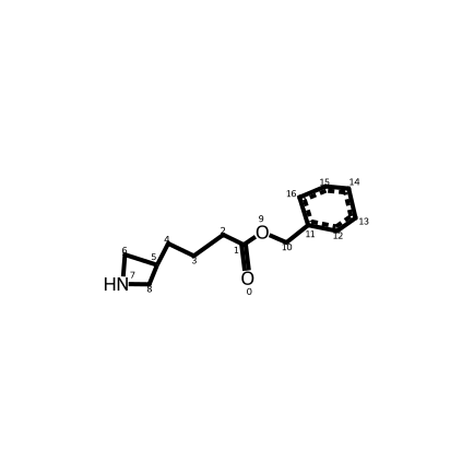 O=C(CCCC1CNC1)OCc1ccccc1